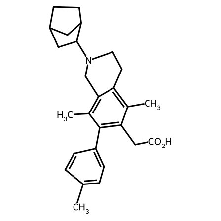 Cc1ccc(-c2c(C)c3c(c(C)c2CC(=O)O)CCN(C2CC4CCC2C4)C3)cc1